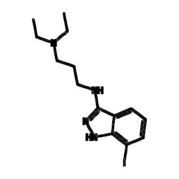 CCN(CC)CCCNc1n[nH]c2c(I)cccc12